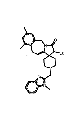 CCN1C(=O)N2Cc3cc(C)cc(C)c3[C@@H](C)C=C2C12CCN(Cc1nc3ccccc3n1C)CC2